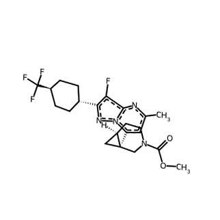 COC(=O)N1CC[C@@H]2C[C@]2(c2cc(C)nc3c(F)c([C@H]4CC[C@H](C(F)(F)F)CC4)nn23)C1